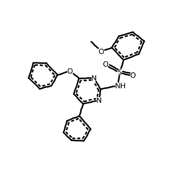 COc1ccccc1S(=O)(=O)Nc1nc(Oc2ccccc2)cc(-c2ccccc2)n1